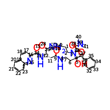 CC(C)CCN(C(O)(CCNC(=O)C[C@H](NC(=O)c1ccc2ccccc2n1)C(N)=O)Cc1ccccc1)S(=O)(=O)N(C)C